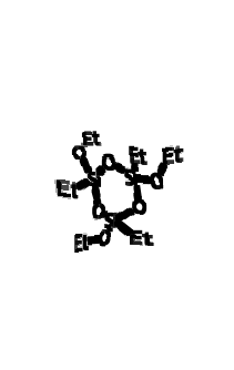 CCO[Si]1(CC)O[Si](CC)(OCC)O[Si](CC)(OCC)O1